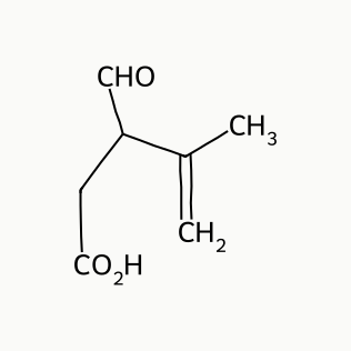 C=C(C)C(C=O)CC(=O)O